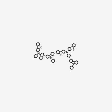 CC1(C)c2ccccc2-c2ccc(N(C3=CC=C(c4ccc5c(c4)c4ccc(-c6ccc7c(c6)C(C)(C)c6cc(N(c8ccc(-c9ccc%10c(c9)c9ccccc9n%10-c9ccccc9)cc8)c8ccc9c(c8)C(C)(C)c8ccccc8-9)ccc6-7)cc4n5-c4ccccc4)C4(C)C=CC=CC34)c3ccccc3)cc21